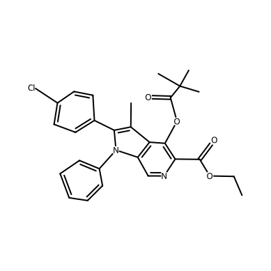 CCOC(=O)c1ncc2c(c(C)c(-c3ccc(Cl)cc3)n2-c2ccccc2)c1OC(=O)C(C)(C)C